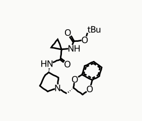 CC(C)(C)OC(=O)NC1(C(=O)N[C@H]2CCCN(C[C@H]3COc4ccccc4O3)C2)CC1